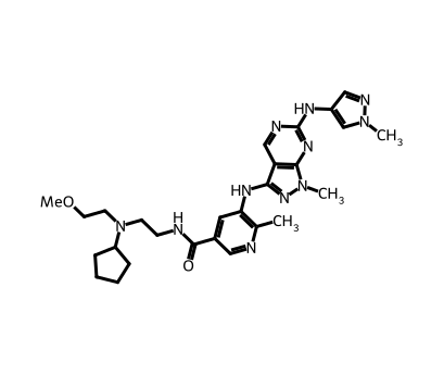 COCCN(CCNC(=O)c1cnc(C)c(Nc2nn(C)c3nc(Nc4cnn(C)c4)ncc23)c1)C1CCCC1